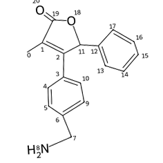 CC1=C(c2ccc(CN)cc2)C(c2ccccc2)OC1=O